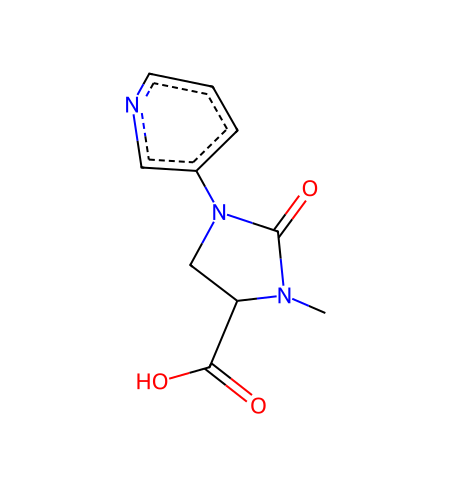 CN1C(=O)N(c2cccnc2)CC1C(=O)O